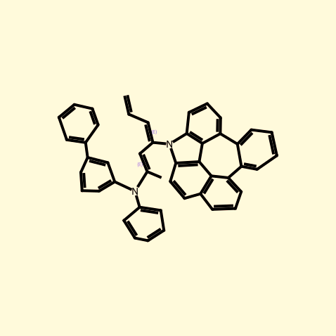 C=C/C=C(\C=C(/C)N(c1ccccc1)c1cccc(-c2ccccc2)c1)n1c2cccc3c2c2c4c(cccc4ccc21)-c1ccccc1-3